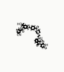 CC(C)(O)c1cc2nc([C@H]3CC[C@H](C(=O)N4CCN(CCNc5cccc6c5C(=O)N(C5CCC(=O)NC5=O)C6=O)CC4)CC3)sc2cc1NC(=O)c1cncc(C#N)c1